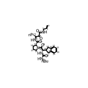 C=CCNC(=O)C(=O)C(CCC)NC(=O)[C@@H]1CCCN1C(=O)[C@@H](NC(=O)NC(C)CC)C1Cc2ccccc2C1